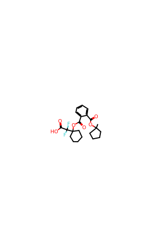 CC1(OC(=O)c2ccccc2C(=O)OC2(C(F)(F)C(=O)O)CCCCC2)CCCC1